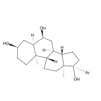 CC(=O)[C@@]1(O)CC[C@H]2[C@@H]3C[C@H](O)[C@@H]4C[C@H](O)CC[C@]4(C)[C@H]3CC[C@@]21C